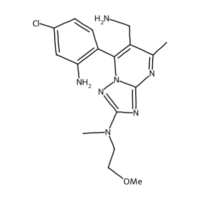 COCCN(C)c1nc2nc(C)c(CN)c(-c3ccc(Cl)cc3N)n2n1